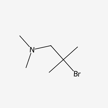 CN(C)CC(C)(C)Br